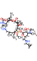 CCOC1(C)C[C@@H](C)CN[C@H](C)[C@H]2NC(=O)O[C@]2(C)[C@@H](CC)OC(=O)C(C)(C)C(=O)[C@H](C)[C@H]1SO[C@@H]1O[C@H](CNCC2CC2)C[C@H](N(C)C)[C@H]1O